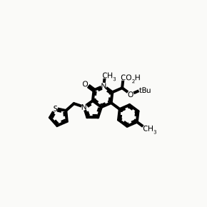 Cc1ccc(-c2c(C(OC(C)(C)C)C(=O)O)n(C)c(=O)c3c2ccn3Cc2cccs2)cc1